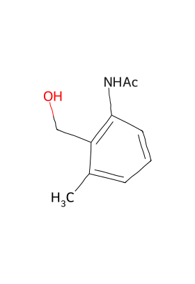 CC(=O)Nc1cccc(C)c1CO